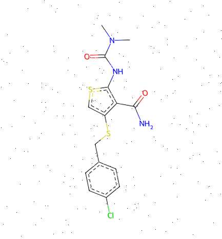 CN(C)C(=O)Nc1scc(SCc2ccc(Cl)cc2)c1C(N)=O